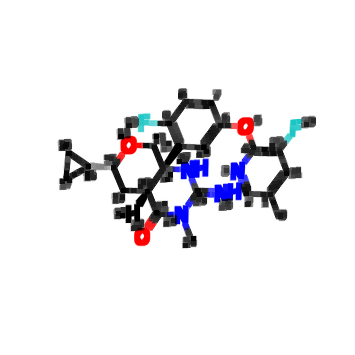 Cc1cnc(Oc2ccc(F)c([C@]34CO[C@@H](C5CC5)C[C@H]3C(=O)N(C)C(=N)N4)c2)c(F)c1